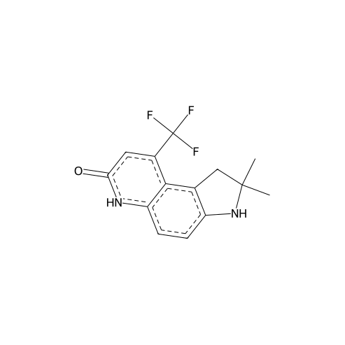 CC1(C)Cc2c(ccc3[nH]c(=O)cc(C(F)(F)F)c23)N1